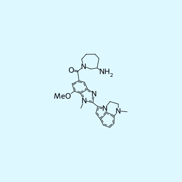 COc1cc(C(=O)N2CCCCC(N)C2)cc2nc(-c3cc4cccc5c4n3CCN5C)n(C)c12